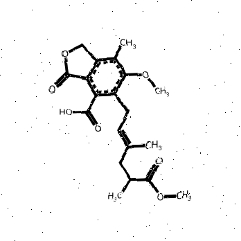 COC(=O)C(C)C/C(C)=C/Cc1c(OC)c(C)c2c(c1C(=O)O)C(=O)OC2